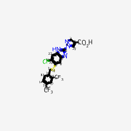 O=C(O)c1cnn(-c2nc3cc(SCc4ccc(C(F)(F)F)cc4C(F)(F)F)c(Cl)cc3[nH]2)c1